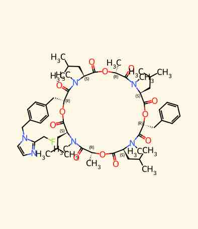 CC(C)C[C@H]1C(=O)O[C@H](Cc2ccc(Cn3ccnc3CF)cc2)C(=O)N(C)[C@@H](CC(C)C)C(=O)O[C@H](C)C(=O)N(C)[C@@H](CC(C)C)C(=O)O[C@H](Cc2ccccc2)C(=O)N(C)[C@@H](CC(C)C)C(=O)O[C@H](C)C(=O)N1C